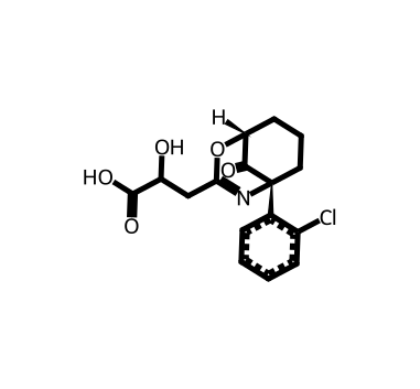 O=C(O)C(O)CC1=N[C@@]2(c3ccccc3Cl)CCC[C@@H](O1)C2=O